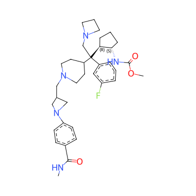 CNC(=O)c1ccc(N2CC(CN3CCC(C(CN4CCC4)(c4cccc(F)c4)[C@H]4CCC[C@@H]4NC(=O)OC)CC3)C2)cc1